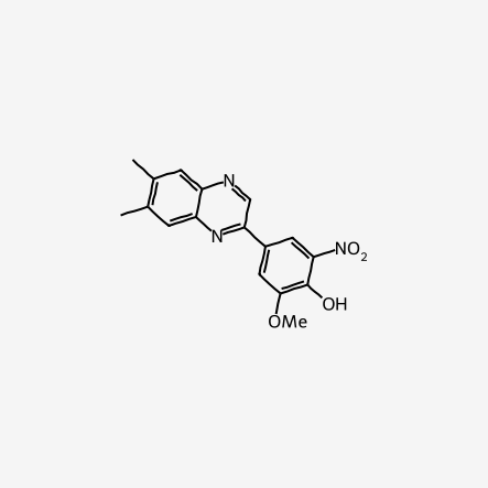 COc1cc(-c2cnc3cc(C)c(C)cc3n2)cc([N+](=O)[O-])c1O